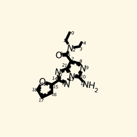 CCN(CC)C(=O)c1cnc(N)n2nc(-c3ccco3)nc12